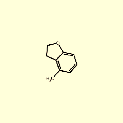 [CH2]c1cccc2c1CCO2